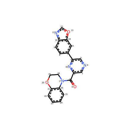 O=C(c1cncc(-c2ccc3ncoc3c2)n1)N1CCOc2ccccc21